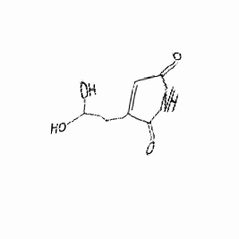 O=C1C=C(CC(O)O)C(=O)N1